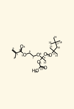 C=C(C)C(=O)OCCOC(C)(OOC(C)(C)CC(C)(C)C)OC(=O)O